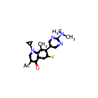 CC(=O)c1cn(C2CC2)c2c(C)c(-c3cnc(N(C)C)nc3)c(F)cc2c1=O